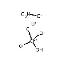 O=[N+]([O-])[O-].[Li+].[O-][Cl+3]([O-])([O-])O